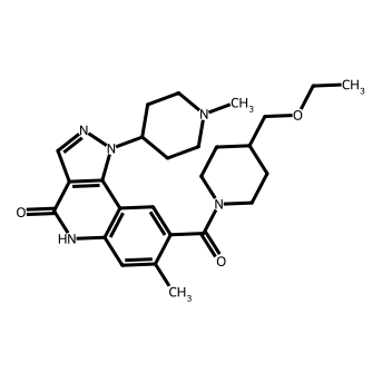 CCOCC1CCN(C(=O)c2cc3c(cc2C)[nH]c(=O)c2cnn(C4CCN(C)CC4)c23)CC1